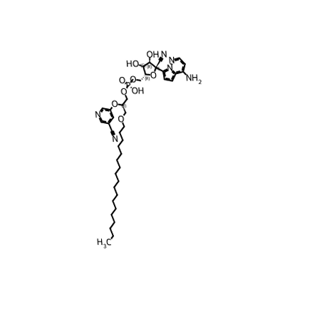 CCCCCCCCCCCCCCCCCCOC[C@H](COP(=O)(O)OC[C@H]1O[C@@](C#N)(c2ccc3c(N)ccnn23)[C@H](O)[C@@H]1O)Oc1cncc(C#N)c1